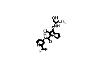 CC(CO)NSc1c(Cl)c(C(=O)Nc2ccnc(C(F)F)c2)n2c1C=CC2